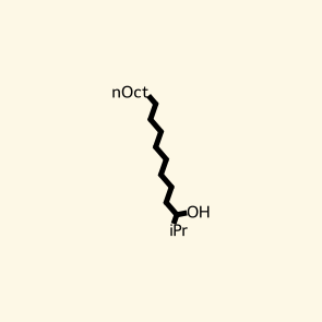 CCCCCCCCCCCCCCCCC(O)C(C)C